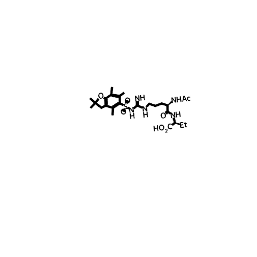 CC[C@H](NC(=O)[C@@H](CCCNC(=N)NS(=O)(=O)c1c(C)c(C)c2c(c1C)CC(C)(C)O2)NC(C)=O)C(=O)O